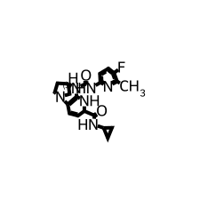 Cc1nc(NC(=O)N2C3=C(C=CC(C(=O)NC4CC4)N3)N3CC[C@H]2C3)ccc1F